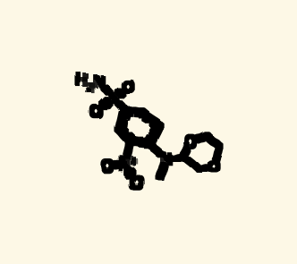 CN(c1ccc(S(N)(=O)=O)cc1[N+](=O)[O-])C1COCCO1